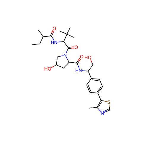 CCC(C)C(=O)NC(C(=O)N1CC(O)CC1C(=O)NC(CO)c1ccc(-c2scnc2C)cc1)C(C)(C)C